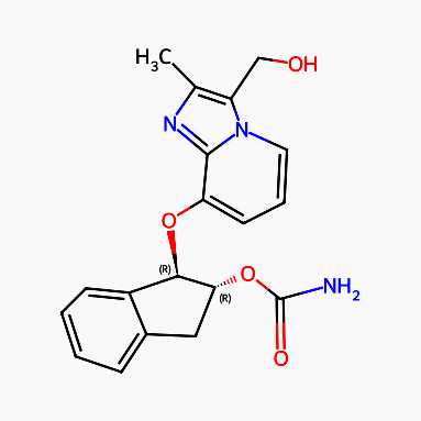 Cc1nc2c(O[C@@H]3c4ccccc4C[C@H]3OC(N)=O)cccn2c1CO